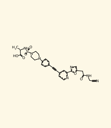 C[C@@H](NS(=O)(=O)N1CCN(c2ccc(C#Cc3ccnc(-c4ncc(CC(=O)NCC#N)o4)c3)cc2)CC1)C(=O)O